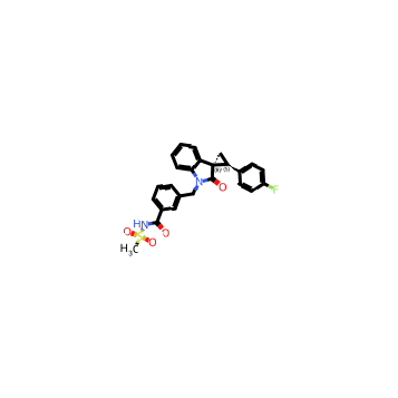 CS(=O)(=O)NC(=O)c1cccc(CN2C(=O)[C@@]3(C[C@H]3c3ccc(F)cc3)c3ccccc32)c1